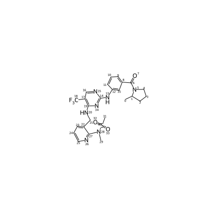 CC1CCCN1C(=O)c1cccc(Nc2ncc(C(F)(F)F)c(NCc3cccnc3N(C)S(C)(=O)=O)n2)c1